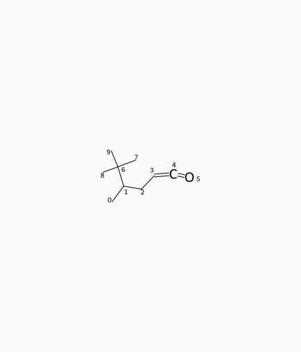 CC(CC=C=O)C(C)(C)C